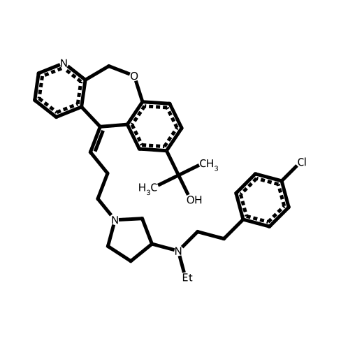 CCN(CCc1ccc(Cl)cc1)C1CCN(CC/C=C2\c3cc(C(C)(C)O)ccc3OCc3ncccc32)C1